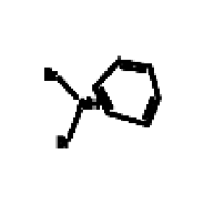 [Br][AlH][Br].[c]1ccccc1